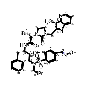 CC[C@H](C)[C@@H](C(=O)N[C@@H](Cc1ccccc1)[C@H](O)CN(CC(C)C)S(=O)(=O)c1ccc(/C=N/O)cc1)N1CCN(Cc2nc3cccnc3n2C)C1=O